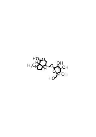 C[C@@H]1CC[C@@H]2[C@@H](CO[C@@H]3O[C@H](CO)[C@@H](O)[C@H](O)[C@H]3O)CO[C@@H](O)[C@@H]21